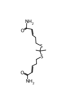 CC(C)(SCCC=CC(N)=O)SCCC=CC(N)=O